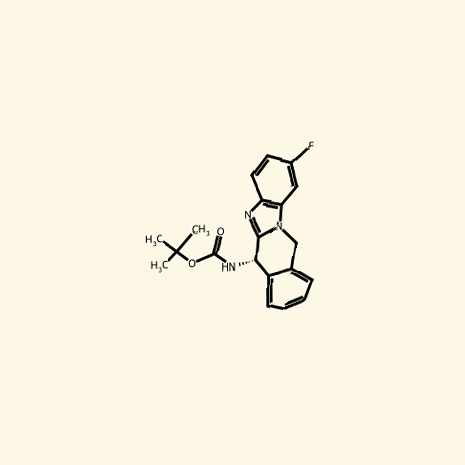 CC(C)(C)OC(=O)N[C@H]1c2ccccc2Cn2c1nc1ccc(F)cc12